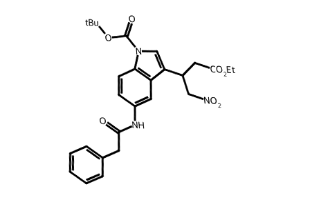 CCOC(=O)CC(C[N+](=O)[O-])c1cn(C(=O)OC(C)(C)C)c2ccc(NC(=O)Cc3ccccc3)cc12